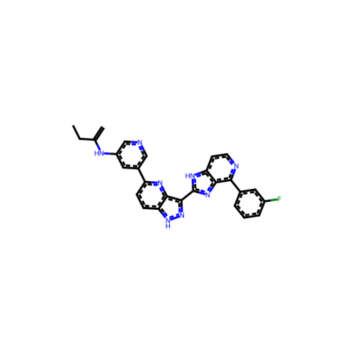 C=C(CC)Nc1cncc(-c2ccc3[nH]nc(-c4nc5c(-c6cccc(F)c6)nccc5[nH]4)c3n2)c1